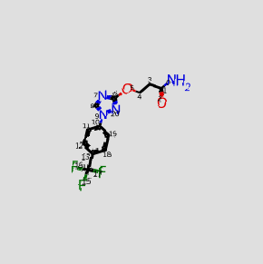 NC(=O)CCOc1ncn(-c2ccc(C(F)(F)F)cc2)n1